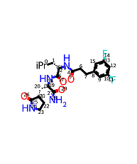 CC(C)C[C@H](NC(=O)CCc1cc(F)cc(F)c1)C(=O)N[C@@H](C[C@@H]1CCNC1=O)C(N)=O